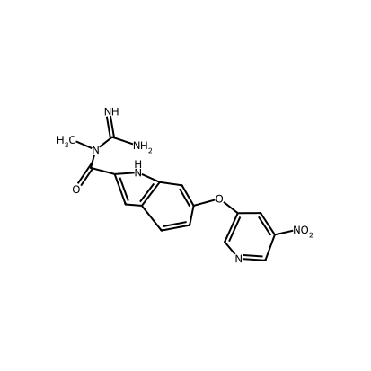 CN(C(=N)N)C(=O)c1cc2ccc(Oc3cncc([N+](=O)[O-])c3)cc2[nH]1